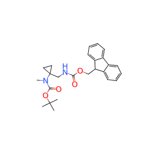 CN(C(=O)OC(C)(C)C)C1(CNC(=O)OCC2c3ccccc3-c3ccccc32)CC1